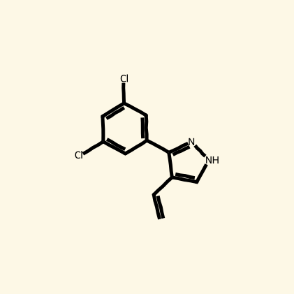 C=Cc1c[nH]nc1-c1cc(Cl)cc(Cl)c1